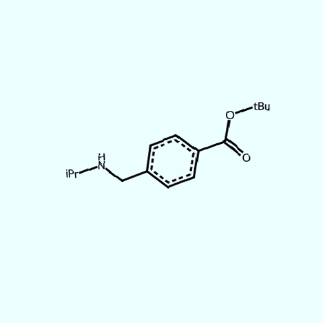 CC(C)NCc1ccc(C(=O)OC(C)(C)C)cc1